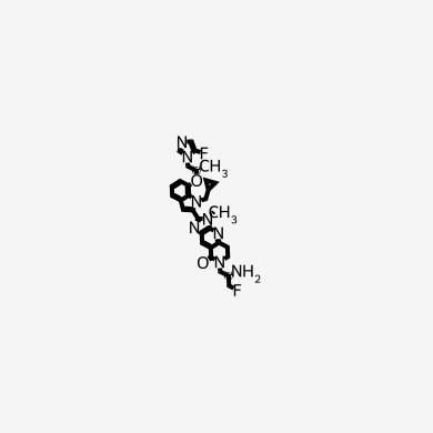 C[C@@H](Cn1cncc1F)Oc1cccc2cc(-c3nc4cc5c(nc4n3C)CCN(C[C@H](N)CF)C5=O)n(CC3CC3)c12